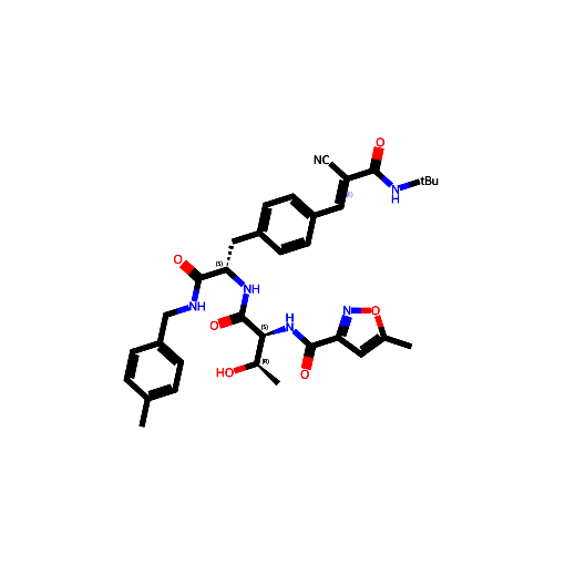 Cc1ccc(CNC(=O)[C@H](Cc2ccc(/C=C(\C#N)C(=O)NC(C)(C)C)cc2)NC(=O)[C@@H](NC(=O)c2cc(C)on2)[C@@H](C)O)cc1